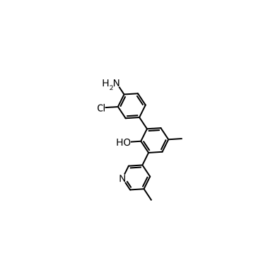 Cc1cncc(-c2cc(C)cc(-c3ccc(N)c(Cl)c3)c2O)c1